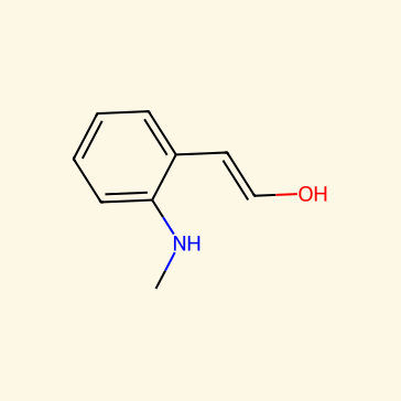 CNc1ccccc1/C=C/O